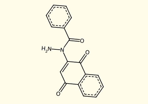 NN(C(=O)c1ccccc1)C1=CC(=O)c2ccccc2C1=O